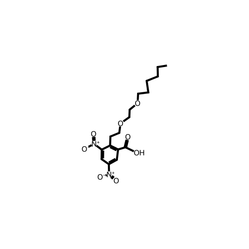 CCCCCCOCCOCCc1c(C(=O)O)cc([N+](=O)[O-])cc1[N+](=O)[O-]